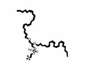 CCCCC/C=C\C/C=C\C/C=C\C/C=C\CCCCOCC(COP(=O)(O)OCC[N+](C)(C)C)OCCCC/C=C\C/C=C\C/C=C\C/C=C\CCCCC